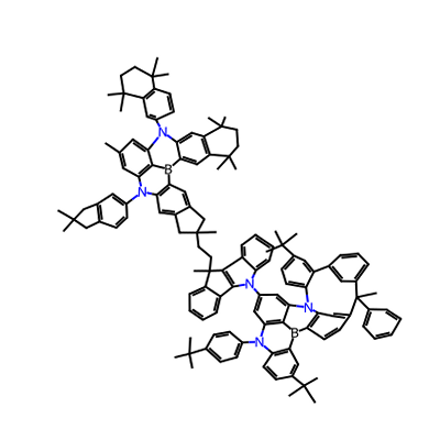 Cc1cc2c3c(c1)N(c1ccc4c(c1)C(C)(C)CCC4(C)C)c1cc4c(cc1B3c1cc3c(cc1N2c1ccc2c(c1)CC(C)(C)C2)CC(C)(CCC1(C)c2ccccc2-c2c1c1ccccc1n2-c1cc2c5c(c1)N1c6cc(ccc6B5c5cc(C(C)(C)C)ccc5N2c2ccc(C(C)(C)C)cc2)C(C)(c2ccccc2)c2cccc(c2)-c2cc(C(C)(C)C)ccc21)C3)C(C)(C)CCC4(C)C